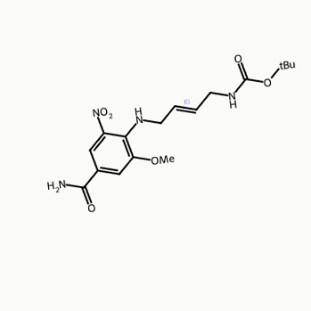 COc1cc(C(N)=O)cc([N+](=O)[O-])c1NC/C=C/CNC(=O)OC(C)(C)C